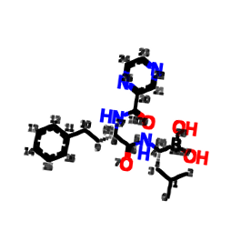 CC(C)C[C@H](NC(=O)[C@H](CCc1ccccc1)NC(=O)c1cnccn1)B(O)O